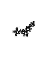 O=C1NC(=S)S/C1=C\c1cc2cncc(-c3ccc(OCC(F)(F)F)nc3)c2o1